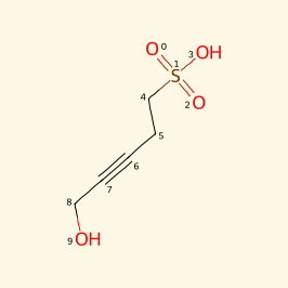 O=S(=O)(O)CCC#CCO